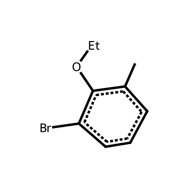 CCOc1c(C)cccc1Br